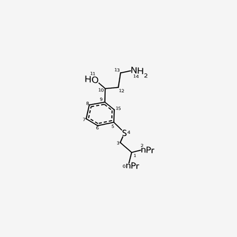 CCCC(CCC)CSc1cccc(C(O)CCN)c1